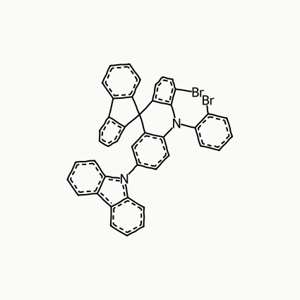 Brc1ccccc1N1c2ccc(-n3c4ccccc4c4ccccc43)cc2C2(c3ccccc3-c3ccccc32)c2cccc(Br)c21